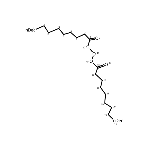 CCCCCCCCCCCCCCCCCC(=O)OOOC(=O)CCCCCCCCCCCCCCCCC